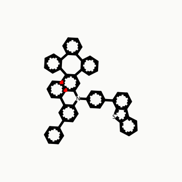 c1ccc(-c2ccc(N(c3ccc(-c4cccc5c4sc4ccccc45)cc3)c3ccc4c(c3)-c3ccccc3-c3ccccc3-c3ccccc3-4)c(-c3ccccc3)c2)cc1